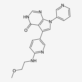 COCCNc1ccc(-c2cn(-c3cccnc3)c3nc[nH]c(=O)c23)cn1